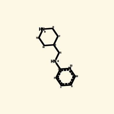 c1ccc(NCC2CCNCC2)nc1